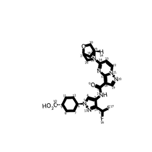 O=C(Nc1cn([C@H]2CC[C@H](C(=O)O)CC2)nc1C(F)F)c1cnn2ccc(N3CC4C[C@@H]3CO4)nc12